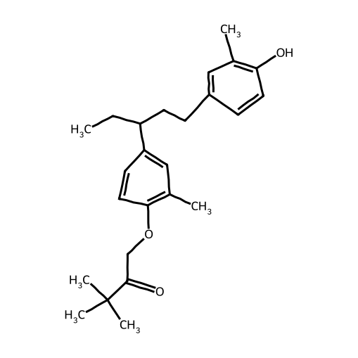 CCC(CCc1ccc(O)c(C)c1)c1ccc(OCC(=O)C(C)(C)C)c(C)c1